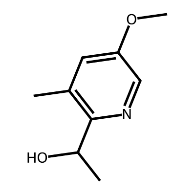 COc1cnc(C(C)O)c(C)c1